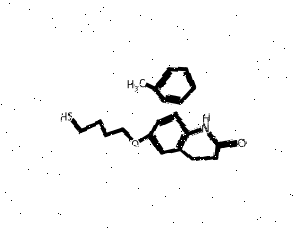 Cc1ccccc1.O=C1CCc2cc(OCCCCS)ccc2N1